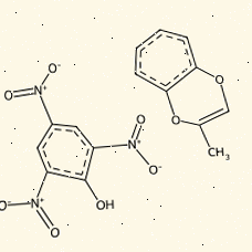 CC1=COc2ccccc2O1.O=[N+]([O-])c1cc([N+](=O)[O-])c(O)c([N+](=O)[O-])c1